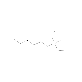 CO[Si](C)(CCCCCCl)OC